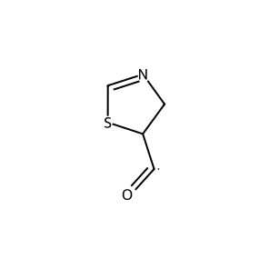 O=[C]C1CN=CS1